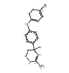 CC1(c2ccc(OC3=CC=C(Br)CC3)cc2)CCSC(N)=N1